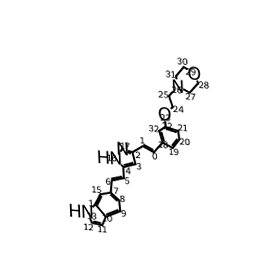 C(=Cc1cc(C=Cc2ccc3cc[nH]c3c2)[nH]n1)c1cccc(OCCN2CCOCC2)c1